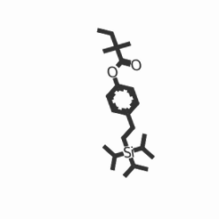 CCC(C)(C)C(=O)Oc1ccc(CC[Si](C(C)C)(C(C)C)C(C)C)cc1